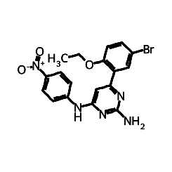 CCOc1ccc(Br)cc1-c1cc(Nc2ccc([N+](=O)[O-])cc2)nc(N)n1